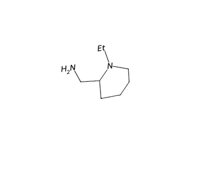 CCN1CCCCC1CN